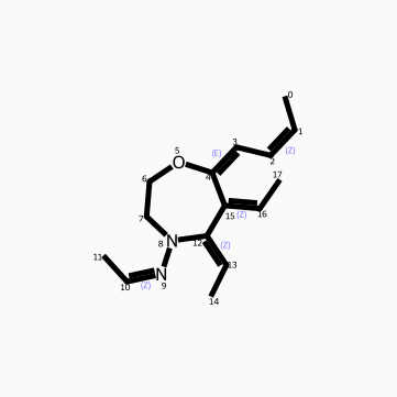 C\C=C/C=C1/OCCN(/N=C\C)C(=C\C)/C1=C/C